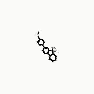 CC1(C)c2cc(-c3ccc(OI)cc3)ccc2C2C=CC=CC21